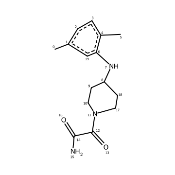 Cc1ccc(C)c(NC2CCN(C(=O)C(N)=O)CC2)c1